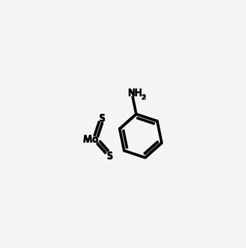 Nc1ccccc1.[S]=[Mo]=[S]